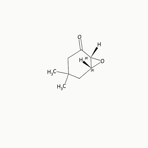 CC1(C)CC(=O)[C@@H]2O[C@@H]2C1